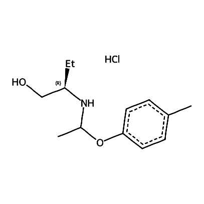 CC[C@H](CO)NC(C)Oc1ccc(C)cc1.Cl